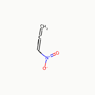 C=C=C[N+](=O)[O-]